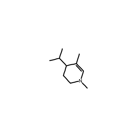 CC1=CN(C)CCC1C(C)C